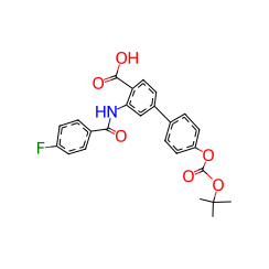 CC(C)(C)OC(=O)Oc1ccc(-c2ccc(C(=O)O)c(NC(=O)c3ccc(F)cc3)c2)cc1